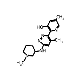 Cc1cnc(-c2nnc(NC3CCCN(C)C3)cc2C)c(O)c1